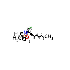 CCCCCCC#C/C(CF)=N\[S@@+]([O-])C(C)(C)C